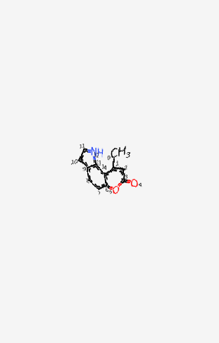 Cc1cc(=O)oc2ccc3cc[nH]c3c12